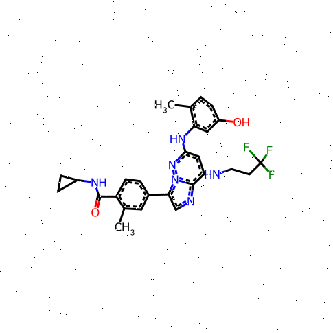 Cc1ccc(O)cc1Nc1cc(NCCC(F)(F)F)c2ncc(-c3ccc(C(=O)NC4CC4)c(C)c3)n2n1